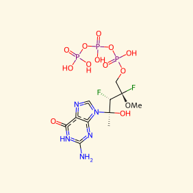 CO[C@](F)(COP(=O)(O)OP(=O)(O)OP(=O)(O)O)[C@@H](F)[C@@](C)(O)n1cnc2c(=O)[nH]c(N)nc21